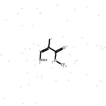 CCCCCCC=C(C)C(=O)OC(F)(F)F